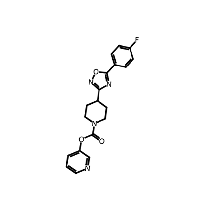 O=C(Oc1cccnc1)N1CCC(c2noc(-c3ccc(F)cc3)n2)CC1